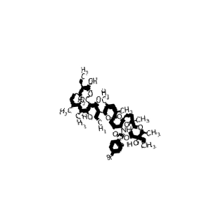 CCC(C(=O)[C@@H](C)[C@@H](O)[C@H](C)[C@@H]1O[C@@H]([C@@H](CC)C(=O)O)CC[C@@H]1C)[C@H]1O[C@]2(C=C[C@@H](NS(=O)(=O)c3ccc(Br)cc3)[C@]3(CC[C@@](C)([C@H]4CC[C@](O)(CC)[C@H](C)O4)O3)O2)[C@H](C)C[C@@H]1C